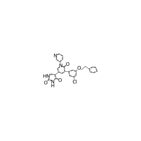 O=c1[nH]cc(-c2cc(-c3cc(Cl)cc(OCCc4ccccc4)c3)c(=O)n(-c3cccnc3)c2)c(=O)[nH]1